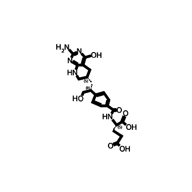 Nc1nc(O)c2c(n1)NC[C@@H](C[C@@H](CO)c1ccc(C(=O)N[C@@H](CCC(=O)O)C(=O)O)cc1)C2